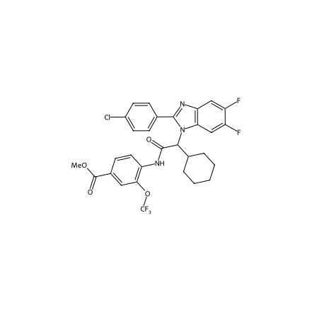 COC(=O)c1ccc(NC(=O)C(C2CCCCC2)n2c(-c3ccc(Cl)cc3)nc3cc(F)c(F)cc32)c(OC(F)(F)F)c1